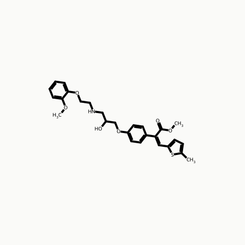 COC(=O)C(=Cc1ccc(C)s1)c1ccc(OCC(O)CNCCOc2ccccc2OC)cc1